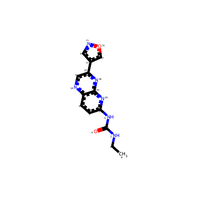 CCNC(=O)Nc1ccc2ncc(-c3cnoc3)nc2n1